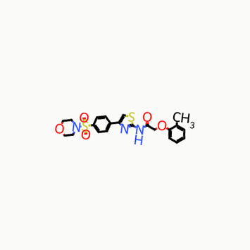 Cc1ccccc1OCC(=O)Nc1nc(-c2ccc(S(=O)(=O)N3CCOCC3)cc2)cs1